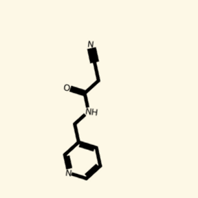 N#CCC(=O)NCc1cccnc1